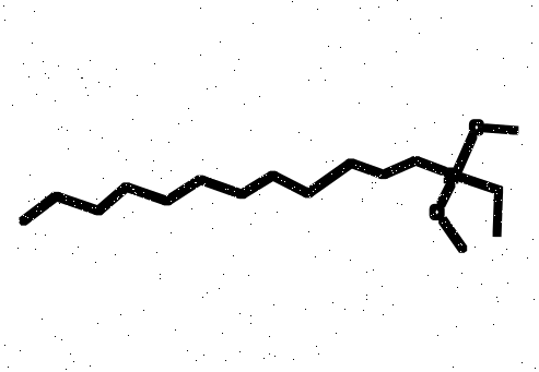 CCCCCCCCCCCC[Si](CC)(OC)OC